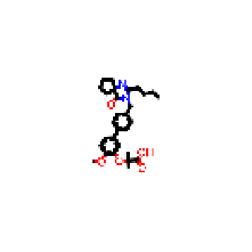 CCCCC1=NC2(CCCC2)C(=O)N1Cc1ccc(-c2ccc(OC)c(OC(C)(C)C(=O)O)c2)cc1